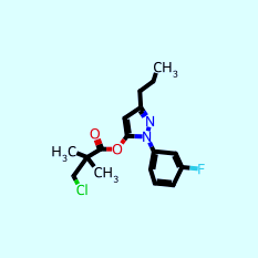 CCCc1cc(OC(=O)C(C)(C)CCl)n(-c2cccc(F)c2)n1